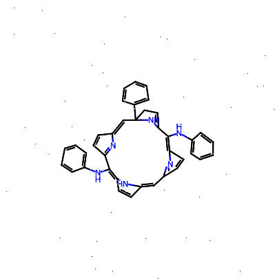 C1=CC2=NC1=CC1(c3ccccc3)CC=C(N1)C(Nc1ccccc1)=C1C=CC(=N1)C=c1ccc([nH]1)=C2Nc1ccccc1